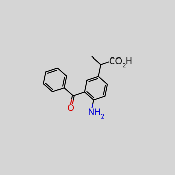 CC(C(=O)O)c1ccc(N)c(C(=O)c2ccccc2)c1